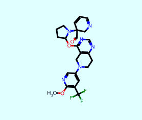 COc1ncc(N2CCc3ncnc(OC4CCCN4C4(C=O)C=CC=NC4)c3C2)cc1C(F)(F)F